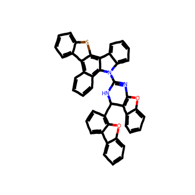 c1ccc2c3c(oc2c1)N=C(n1c2ccccc2c2c4sc5ccccc5c4c4ccccc4c21)NC3c1cccc2c1oc1ccccc12